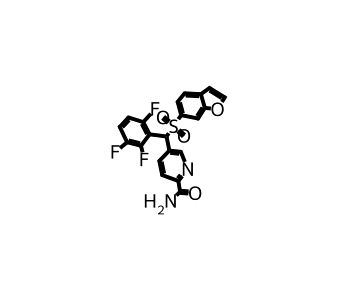 NC(=O)c1ccc(C(c2c(F)ccc(F)c2F)S(=O)(=O)c2ccc3ccoc3c2)cn1